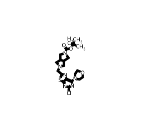 CC(C)(C)OC(=O)N1CC2CN(Cc3nc4c(N5CCOCC5)nc(Cl)nc4s3)CC2C1